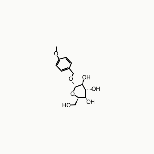 COc1ccc(CO[C@H]2O[C@H](CO)[C@@H](O)[C@@H](O)[C@@H]2O)cc1